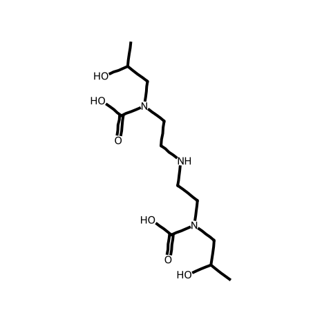 CC(O)CN(CCNCCN(CC(C)O)C(=O)O)C(=O)O